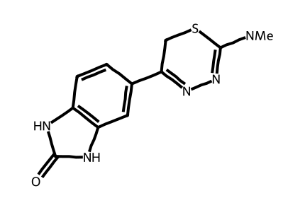 CNC1=NN=C(c2ccc3[nH]c(=O)[nH]c3c2)CS1